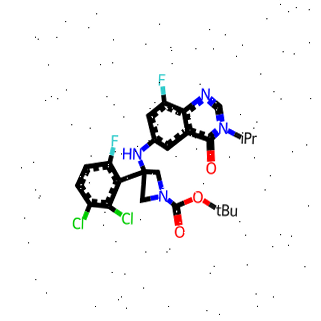 CC(C)n1cnc2c(F)cc(NC3(c4c(F)ccc(Cl)c4Cl)CN(C(=O)OC(C)(C)C)C3)cc2c1=O